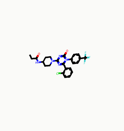 CCC(=O)NC1CCN(c2nc(-c3ccccc3Cl)n(-c3ccc(C(F)(F)F)cc3)c(=O)n2)CC1